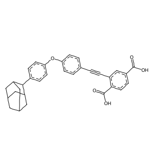 O=C(O)c1ccc(C(=O)O)c(C#Cc2ccc(Oc3ccc(C4C5CC6CC(C5)CC4C6)cc3)cc2)c1